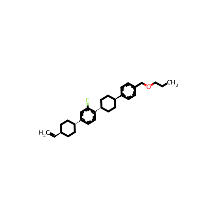 C=C[C@H]1CC[C@H](c2ccc([C@H]3CC[C@H](c4ccc(COCCC)cc4)CC3)c(F)c2)CC1